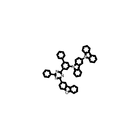 c1ccc(-c2cc(-c3nc(-c4ccccc4)nc(-c4ccc5oc6ccccc6c5c4)n3)cc(-n3c4ccccc4c4cc(-n5c6ccccc6c6ccccc65)ccc43)c2)cc1